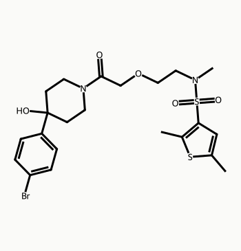 Cc1cc(S(=O)(=O)N(C)CCOCC(=O)N2CCC(O)(c3ccc(Br)cc3)CC2)c(C)s1